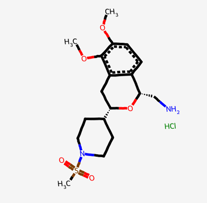 COc1ccc2c(c1OC)C[C@@H](C1CCN(S(C)(=O)=O)CC1)O[C@H]2CN.Cl